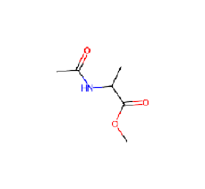 COC(=O)C(C)NC(C)=O